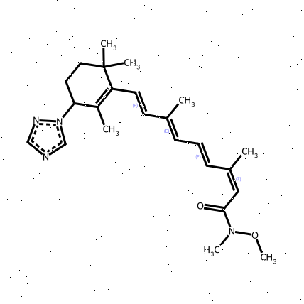 CON(C)C(=O)\C=C(C)/C=C/C=C(C)/C=C/C1=C(C)C(n2cncn2)CCC1(C)C